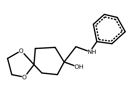 OC1(CNc2ccccc2)CCC2(CC1)OCCO2